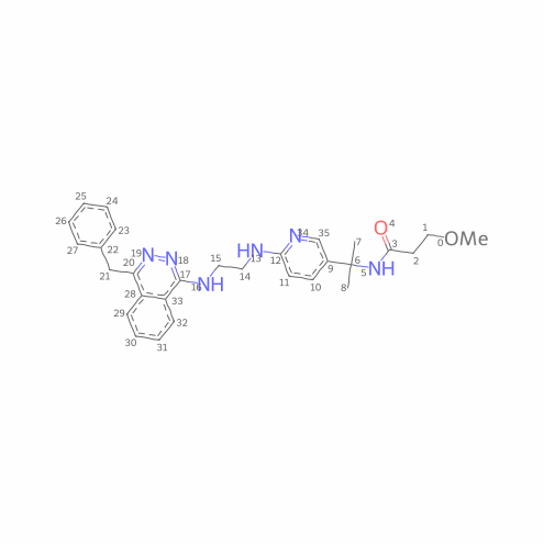 COCCC(=O)NC(C)(C)c1ccc(NCCNc2nnc(Cc3ccccc3)c3ccccc23)nc1